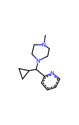 CN1CCN(C(c2ccccn2)C2CC2)CC1